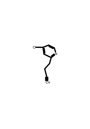 C#CCCc1cc(Cl)ccn1